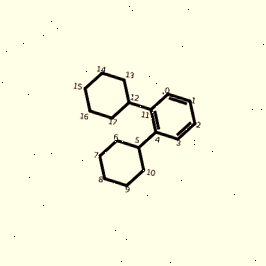 [c]1cccc(C2CCCCC2)c1C1CCCCC1